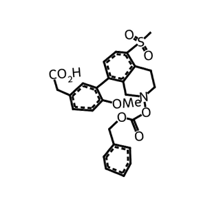 COc1ccc(CC(=O)O)cc1-c1ccc(S(C)(=O)=O)c2c1CN(OC(=O)OCc1ccccc1)CC2